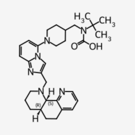 CC(C)(C)N(CC1CCN(c2cccc3nc(CN4CCC[C@H]5CCc6cccnc6[C@H]54)cn23)CC1)C(=O)O